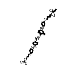 C=CC(=O)OCCCCOc1ccc(N=Nc2ccc(N=Nc3ccc(N=Nc4ccc(OCCCCOC(=O)CC)cc4)cc3)c(C)c2)cc1